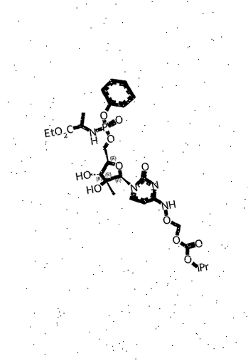 CCOC(=O)C(C)NP(=O)(OC[C@H]1O[C@@H](n2ccc(NOCOC(=O)OC(C)C)nc2=O)[C@](C)(O)[C@@H]1O)Oc1ccccc1